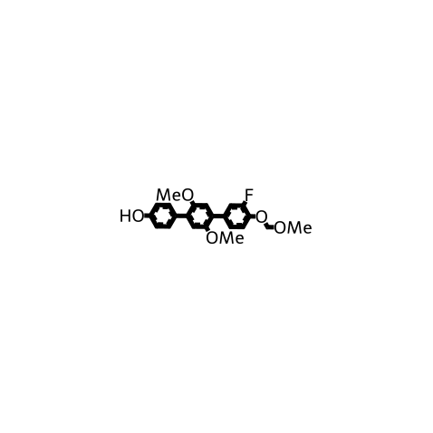 COCOc1ccc(-c2cc(OC)c(-c3ccc(O)cc3)cc2OC)cc1F